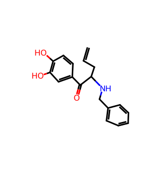 C=CCC(NCc1ccccc1)C(=O)c1ccc(O)c(O)c1